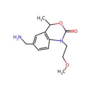 COCCN1C(=O)OC(C)c2cc(CN)ccc21